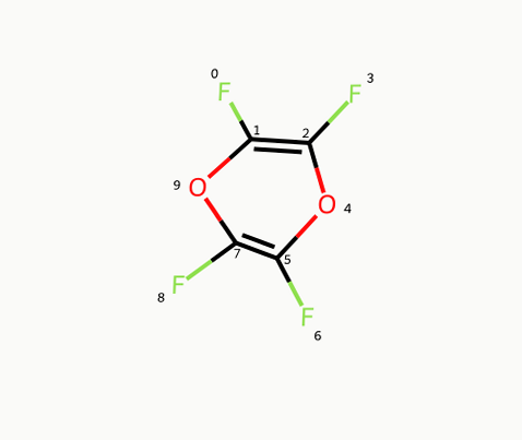 FC1=C(F)OC(F)=C(F)O1